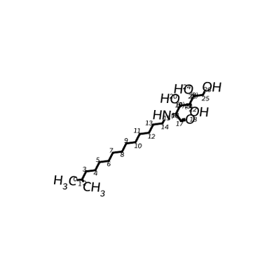 CC(C)CCCCCCCCCCCCN[C@@H](C=O)[C@@H](O)[C@H](O)[C@H](O)CO